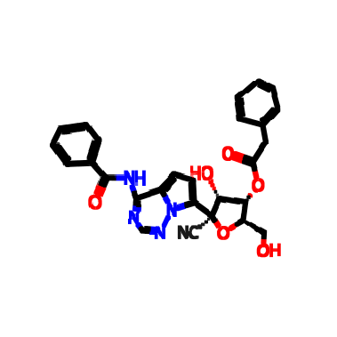 N#C[C@@]1(c2ccc3c(NC(=O)c4ccccc4)ncnn23)O[C@H](CO)[C@@H](OC(=O)Cc2ccccc2)[C@H]1O